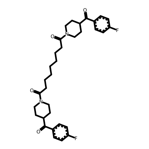 O=C(c1ccc(F)cc1)C1CCN(C(=O)CCCCCCCC(=O)N2CCC(C(=O)c3ccc(F)cc3)CC2)CC1